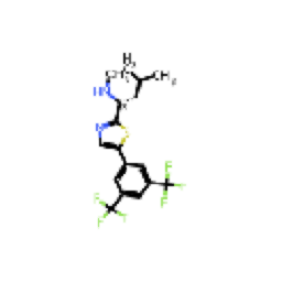 CN[C@H](CC(C)C)c1ncc(-c2cc(C(F)(F)F)cc(C(F)(F)F)c2)s1